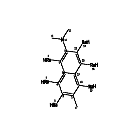 Cc1[c]([RaH])[c]([RaH])c2[c]([RaH])c(N(C)C)[c]([RaH])[c]([RaH])c2[c]1[RaH]